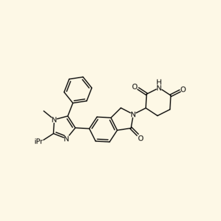 CC(C)c1nc(-c2ccc3c(c2)CN(C2CCC(=O)NC2=O)C3=O)c(-c2ccccc2)n1C